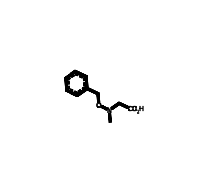 CN(CC(=O)O)OCc1ccccc1